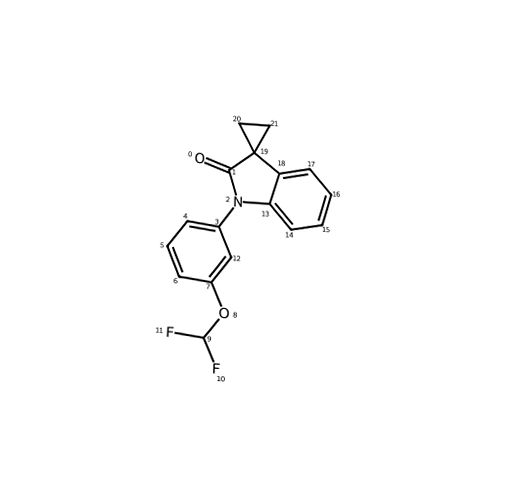 O=C1N(c2cccc(OC(F)F)c2)c2ccccc2C12CC2